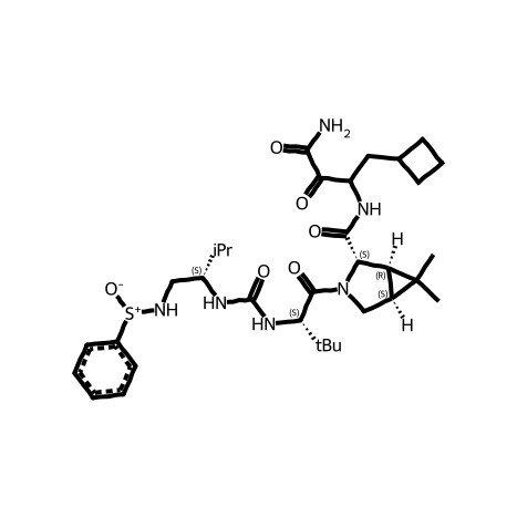 CC(C)[C@@H](CN[S+]([O-])c1ccccc1)NC(=O)N[C@H](C(=O)N1C[C@H]2[C@@H]([C@H]1C(=O)NC(CC1CCC1)C(=O)C(N)=O)C2(C)C)C(C)(C)C